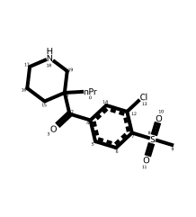 CCCC1(C(=O)c2ccc(S(C)(=O)=O)c(Cl)c2)CCCNC1